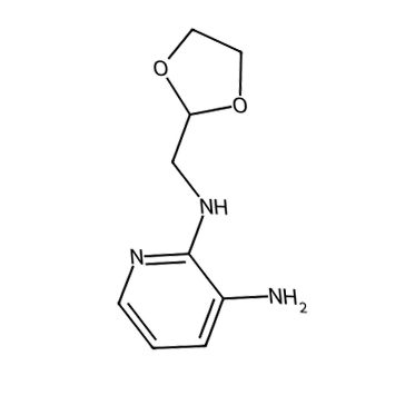 Nc1cccnc1NCC1OCCO1